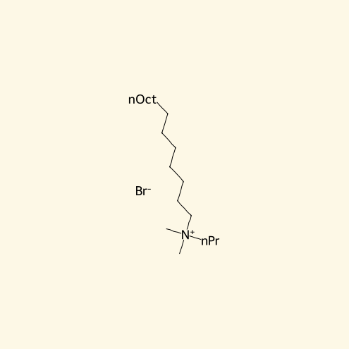 CCCCCCCCCCCCCCC[N+](C)(C)CCC.[Br-]